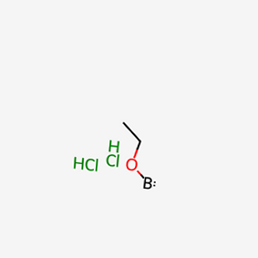 Cl.Cl.[B]OCC